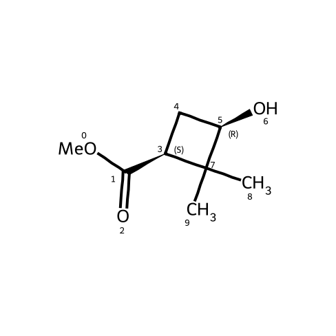 COC(=O)[C@H]1C[C@@H](O)C1(C)C